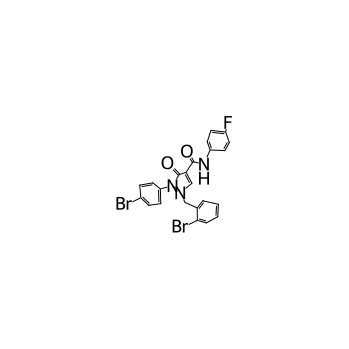 O=C(Nc1ccc(F)cc1)c1cn(Cc2ccccc2Br)n(-c2ccc(Br)cc2)c1=O